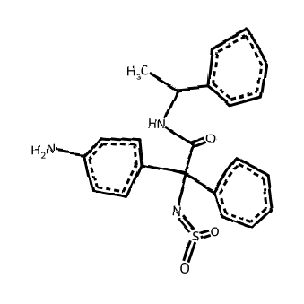 CC(NC(=O)C(N=S(=O)=O)(c1ccccc1)c1ccc(N)cc1)c1ccccc1